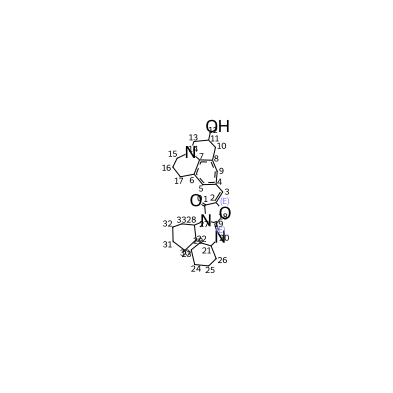 O=C1/C(=C\c2cc3c4c(c2)CC(O)CN4CCC3)O/C(=N/C2CCCCC2)N1C1CCCCC1